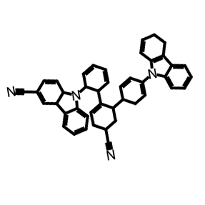 N#CC1=CC2c3ccccc3N(C3C=CC=CC3C3=CCC(C#N)CC3C3C=CC(n4c5c(c6ccccc64)CCC=C5)=CC3)C2C=C1